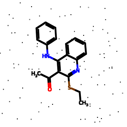 CCSc1nc2ccccc2c(Nc2ccccc2)c1C(C)=O